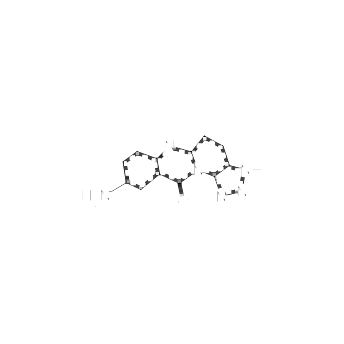 Nc1ccc2nc3ccc4[nH]nnc4n3c(=O)c2c1